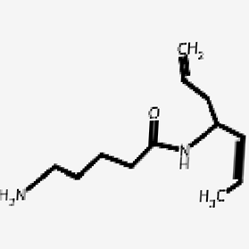 C=CCC(/C=C\C)NC(=O)CCCCN